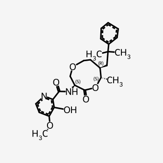 COc1ccnc(C(=O)N[C@H]2COCC[C@@H](CC(C)(C)c3ccccc3)[C@H](C)OC2=O)c1O